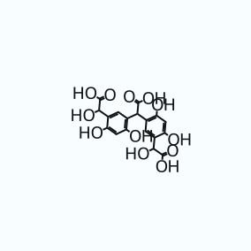 O=C(O)C(O)c1cc(C(C(=O)O)c2cc(C(O)C(=O)O)c(O)cc2O)c(O)cc1O